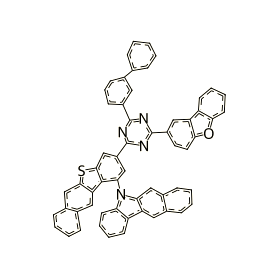 c1ccc(-c2cccc(-c3nc(-c4cc(-n5c6ccccc6c6cc7ccccc7cc65)c5c(c4)sc4cc6ccccc6cc45)nc(-c4ccc5oc6ccccc6c5c4)n3)c2)cc1